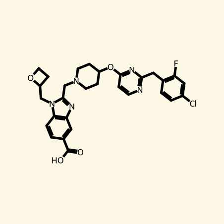 O=C(O)c1ccc2c(c1)nc(CN1CCC(Oc3ccnc(Cc4ccc(Cl)cc4F)n3)CC1)n2CC1CCO1